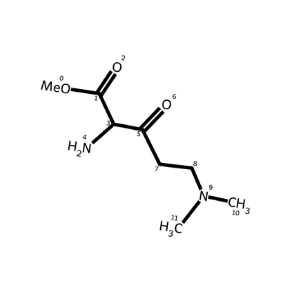 COC(=O)C(N)C(=O)CCN(C)C